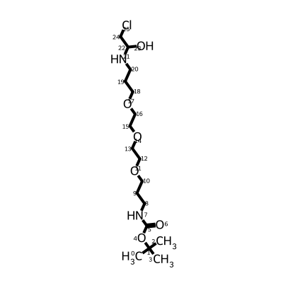 CC(C)(C)OC(=O)NCCCOCCOCCOCCCNC(O)CCl